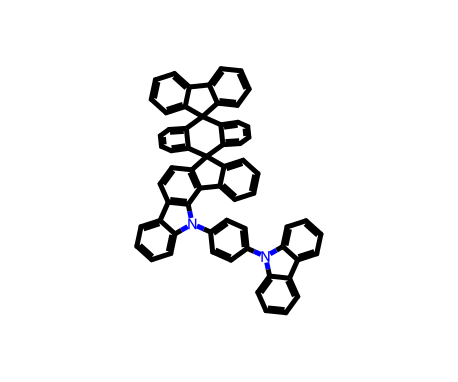 c1ccc2c(c1)-c1ccccc1C21c2ccccc2C2(c3ccccc3-c3c2ccc2c4ccccc4n(-c4ccc(-n5c6ccccc6c6ccccc65)cc4)c32)c2ccccc21